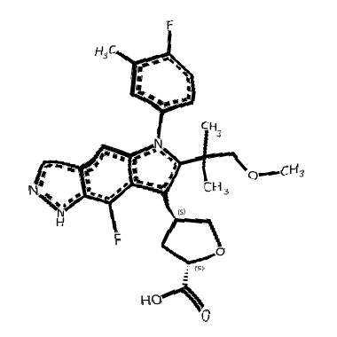 COCC(C)(C)c1c([C@H]2CO[C@H](C(=O)O)C2)c2c(F)c3[nH]ncc3cc2n1-c1ccc(F)c(C)c1